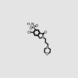 NS(=O)(=O)c1cc2c(cc1Cl)CN(CCCN1CCOCC1)C2=O